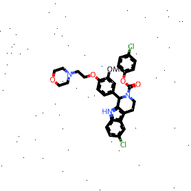 COc1cc(C2c3[nH]c4ccc(Cl)cc4c3CCN2C(=O)Oc2ccc(Cl)cc2)ccc1OCCN1CCOCC1